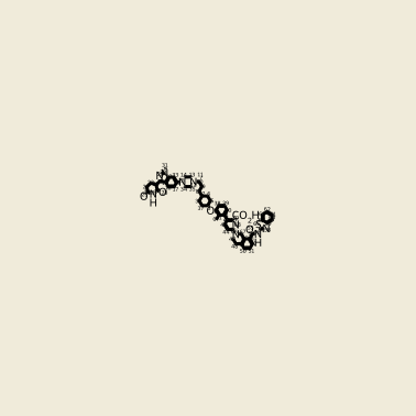 Cc1c(OC2CCC(CC[C@@H](C)N3CCN(c4ccc5c(C6CCC(=O)NC6=O)nn(C)c5c4)CC3)CC2)cccc1-c1ccc(N2CCc3cccc(C(=O)Nc4nc5ccccc5s4)c3C2)nc1C(=O)O